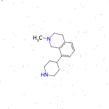 CN1CCc2cccc(C3CCNCC3)c2C1